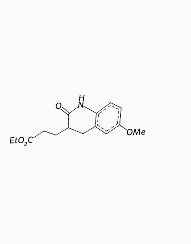 CCOC(=O)CCC1Cc2cc(OC)ccc2NC1=O